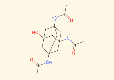 CC(=O)NC12CC3(O)CC(NC(C)=O)(C1)CC(NC(C)=O)(C3)C2